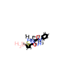 Bc1ccc(C(=O)NC(C)(C)C(=O)Nc2ccccc2)s1